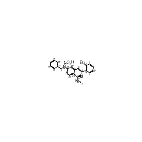 CCc1ccncc1-c1cc2cc(N(Cc3ccccc3)C(=O)O)ncc2c(N)n1